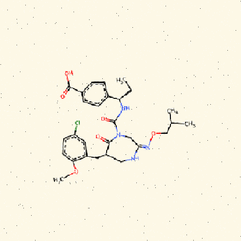 CC[C@@H](NC(=O)N1C/C(=N\OCC(C)C)NC[C@@H](Cc2cc(Cl)ccc2OC)C1=O)c1ccc(C(=O)O)cc1